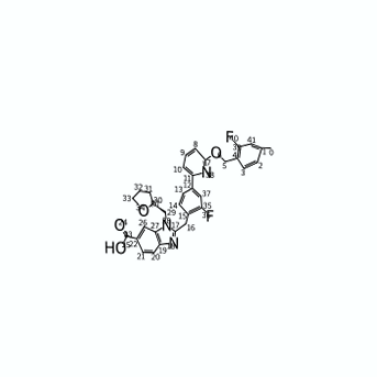 Cc1ccc(COc2cccc(-c3ccc(Cc4nc5ccc(C(=O)O)cc5n4C[C@@H]4CCCO4)c(F)c3)n2)c(F)c1